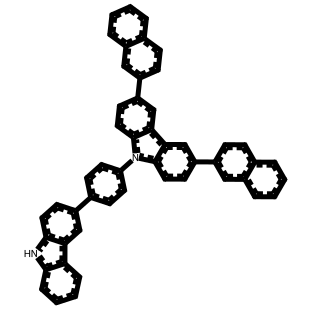 c1ccc2cc(-c3ccc4c(c3)c3cc(-c5ccc6ccccc6c5)ccc3n4-c3ccc(-c4ccc5[nH]c6ccccc6c5c4)cc3)ccc2c1